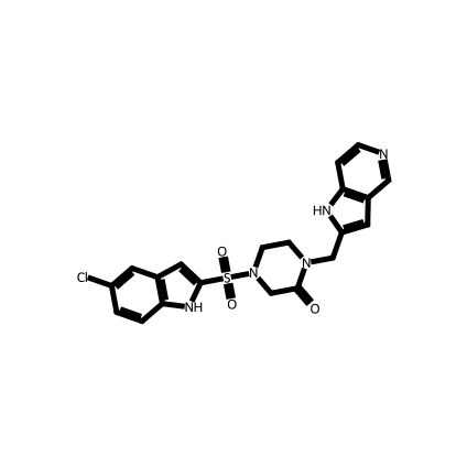 O=C1CN(S(=O)(=O)c2cc3cc(Cl)ccc3[nH]2)CCN1Cc1cc2cnccc2[nH]1